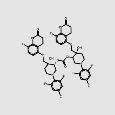 O=C1CCc2c(OC[C@]3(O)CCN(c4c(F)cc(Cl)cc4F)C[C@H]3OC(=O)O[C@@H]3CN(c4c(F)cc(Cl)cc4F)CC[C@@]3(O)COc3ccc(F)c4c3CCC(=O)N4)ccc(F)c2N1